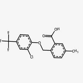 Cc1ccc(COc2ccc(C(F)(F)F)cc2Cl)c(C(=O)O)c1